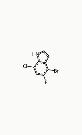 Fc1cc(Cl)c2[nH]ccc2c1Br